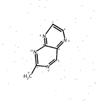 [CH2]c1ncc2nccnc2n1